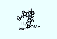 COc1ccc(CN2C(=O)C(C(=S)Nc3cccc(Cl)c3OC)=C(NCc3ccncc3OC[C@@H]3CCCO3)CC2C)c(OC)c1